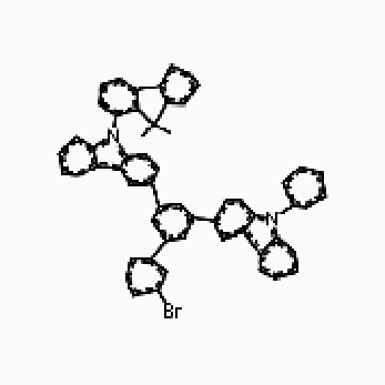 CC1(C)c2ccccc2-c2cccc(-n3c4ccccc4c4cc(-c5cc(-c6cccc(Br)c6)cc(-c6ccc7c(c6)c6ccccc6n7-c6ccccc6)c5)ccc43)c21